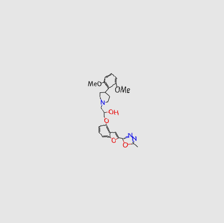 COc1cccc(OC)c1C1CCN(CC(O)COc2cccc3oc(-c4nnc(C)o4)cc23)CC1